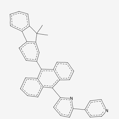 CC1(C)c2ccccc2-c2ccc(-c3c4ccccc4c(-c4cccc(-c5ccncc5)n4)c4ccccc34)cc21